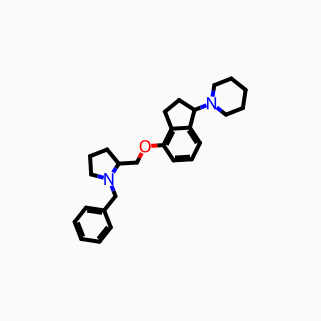 c1ccc(CN2CCCC2COc2cccc3c2CCC3N2CCCCC2)cc1